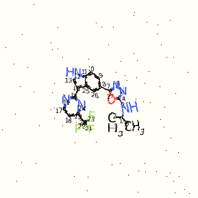 CC(C)Nc1nnc(-c2ccc3[nH]cc(-c4nccc(C(F)(F)F)n4)c3c2)o1